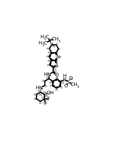 CC(C)(C)[C@H]1CCc2nc3sc(C(=O)NC(CCN[C@H]4CCCC(F)(F)[C@@H]4O)c4cccc(NS(C)(=O)=O)c4)cc3cc2C1